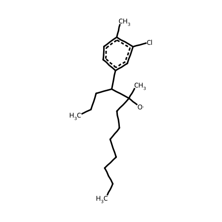 CCCCCCCC(C)([O])C(CCC)c1ccc(C)c(Cl)c1